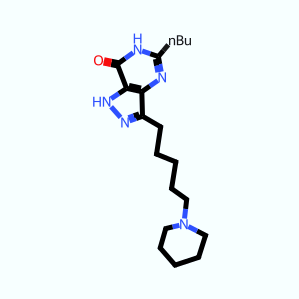 CCCCc1nc2c(CCCCCN3CCCCC3)n[nH]c2c(=O)[nH]1